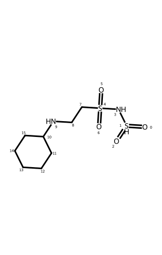 O=[SH](=O)NS(=O)(=O)CCNC1CCCCC1